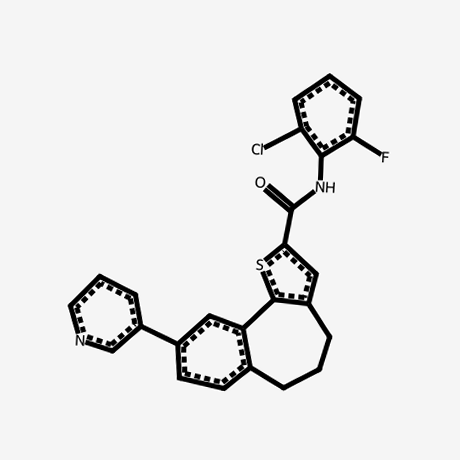 O=C(Nc1c(F)cccc1Cl)c1cc2c(s1)-c1cc(-c3cccnc3)ccc1CCC2